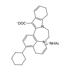 CC(=O)N[N@+]12C=CCc3c(C4CCCCC4)ccc(c31)-c1c(C(=O)[O-])c3c(n1CC2)CCC=C3